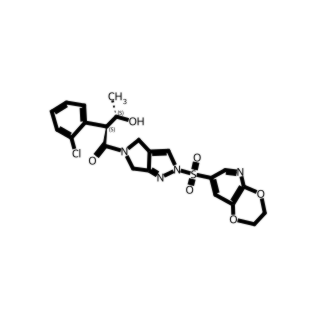 C[C@H](O)[C@@H](C(=O)N1Cc2cn(S(=O)(=O)c3cnc4c(c3)OCCO4)nc2C1)c1ccccc1Cl